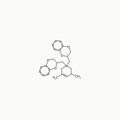 CC1=CC(C)C[N+](CC2COc3ccccc3O2)(CC2COc3ccccc3O2)C1